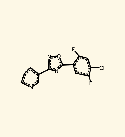 Fc1cc(-c2nc(-c3cccnc3)no2)c(F)cc1Cl